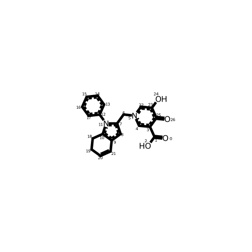 O=C(O)c1cn(Cc2cc3c(n2-c2ccccc2)CCC=C3)cc(O)c1=O